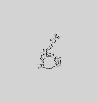 COc1cc2cc(c1Cl)N(C)C(=O)C[C@H](OC(=O)[C@H](C)N(C)C(=O)OCC(C)(C)SSc1ccc([N+](=O)[O-])cn1)C1(C)O[C@H]1[C@H](C)[C@]1(C)C[C@@](O)(NC(=O)O1)[C@H](O)/C=C/C=C(\C)C2